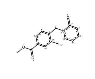 COC(=O)c1ccc(Cn2ccccc2=O)c(I)c1